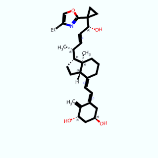 C=C1/C(=C\C=C2/CCC[C@]3(C)[C@@H]([C@H](C)/C=C/[C@@H](O)C4(c5nc(CC)co5)CC4)CC[C@@H]23)C[C@@H](O)C[C@@H]1O